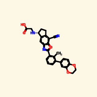 Cc1c(-c2ccc3c(c2)OCCO3)cccc1-c1nc2cc3c(c(C#N)c2o1)CC[C@H]3NCC(=O)O